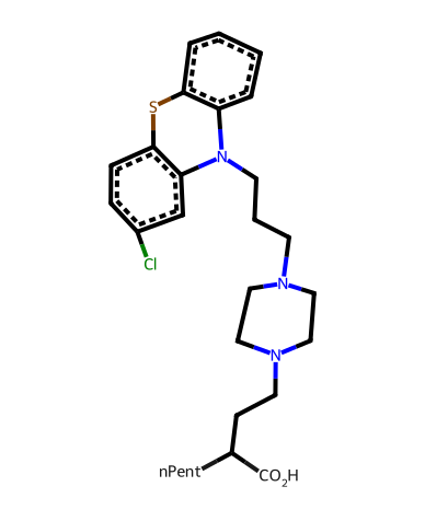 CCCCCC(CCN1CCN(CCCN2c3ccccc3Sc3ccc(Cl)cc32)CC1)C(=O)O